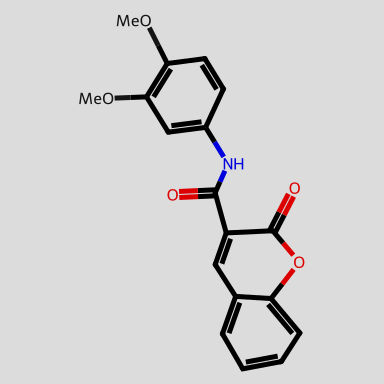 COc1ccc(NC(=O)c2cc3ccccc3oc2=O)cc1OC